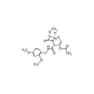 COc1ccc(CNC(=O)C2C(OC(C)=O)=CS[C@@H]3[C@@H](OC)C(=O)N23)c(OC)c1